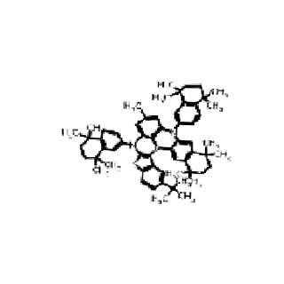 Cc1cc2c3c(c1)N(c1ccc4c(c1)C(C)(C)CCC4(C)C)c1sc4ccc(C(C)(C)C)cc4c1B3c1cc3c(cc1N2c1ccc2c(c1)C(C)(C)CCC2(C)C)C(C)(C)CCC3(C)C